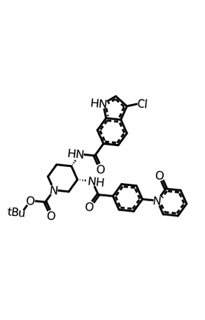 CC(C)(C)OC(=O)N1CC[C@H](NC(=O)c2ccc3c(Cl)c[nH]c3c2)[C@H](NC(=O)c2ccc(-n3ccccc3=O)cc2)C1